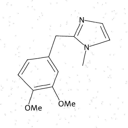 COc1ccc(Cc2nccn2C)cc1OC